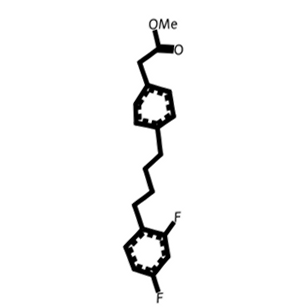 COC(=O)Cc1ccc(CCCCc2ccc(F)cc2F)cc1